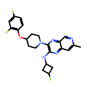 Cc1cc2nc(NC3CC(F)C3)c(N3CCC(Oc4ccc(F)cc4F)CC3)nc2cn1